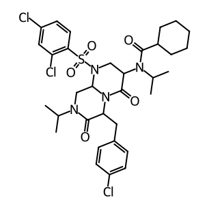 CC(C)N1CC2N(C(=O)C(N(C(=O)C3CCCCC3)C(C)C)CN2S(=O)(=O)c2ccc(Cl)cc2Cl)C(Cc2ccc(Cl)cc2)C1=O